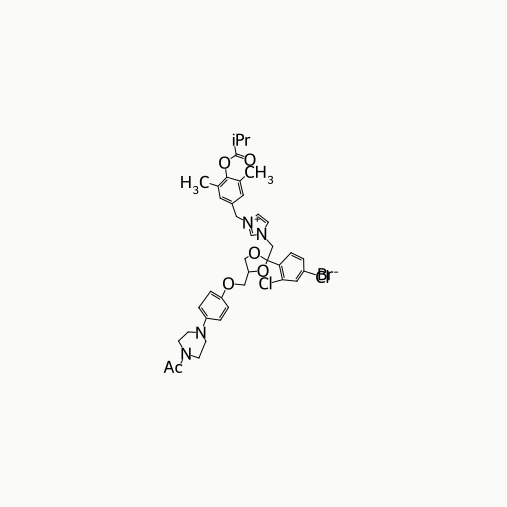 CC(=O)N1CCN(c2ccc(OCC3COC(Cn4cc[n+](Cc5cc(C)c(OC(=O)C(C)C)c(C)c5)c4)(c4ccc(Cl)cc4Cl)O3)cc2)CC1.[Br-]